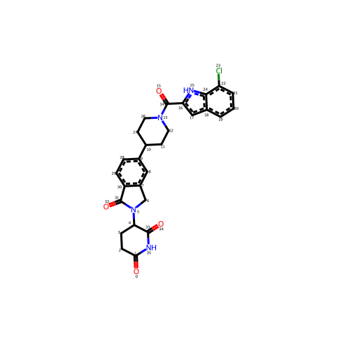 O=C1CCC(N2Cc3cc(C4CCN(C(=O)c5cc6cccc(Cl)c6[nH]5)CC4)ccc3C2=O)C(=O)N1